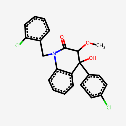 COC1C(=O)N(Cc2ccccc2Cl)c2ccccc2C1(O)c1ccc(Cl)cc1